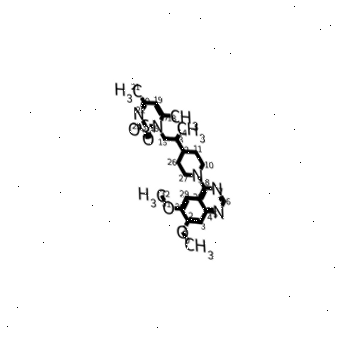 COc1cc2ncnc(N3CCC(C(C)CN4C(C)=CC(C)=NS4(=O)=O)CC3)c2cc1OC